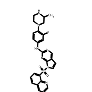 CC1CN(c2ccc(Nc3ncc4ccn(S(=O)(=O)c5cccc6cccnc56)c4n3)cc2F)CCN1